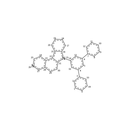 c1ccc(-c2cc(-c3ccccc3)cc(-n3c4ccccc4c4c5ccncc5ccc43)c2)cc1